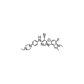 CCN1CCN(c2ccc(Nc3ncnc(Oc4cc(F)c5c(cc(C)n5CC)c4F)c3C#N)cc2)CC1